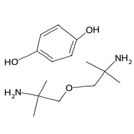 CC(C)(N)COCC(C)(C)N.Oc1ccc(O)cc1